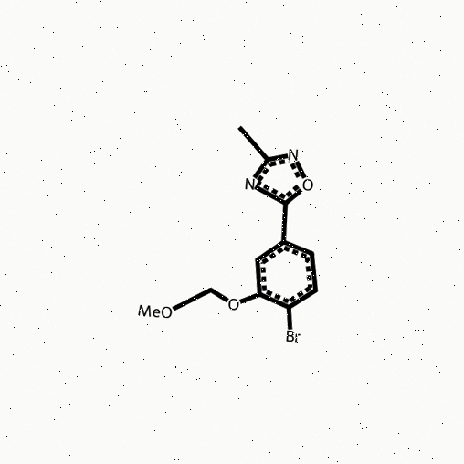 COCOc1cc(-c2nc(C)no2)ccc1Br